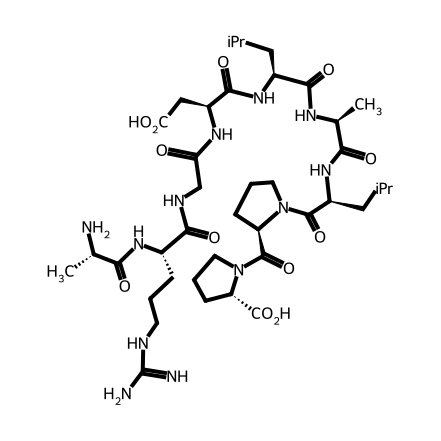 CC(C)C[C@H](NC(=O)[C@H](CC(=O)O)NC(=O)CNC(=O)[C@H](CCCNC(=N)N)NC(=O)[C@H](C)N)C(=O)N[C@@H](C)C(=O)N[C@@H](CC(C)C)C(=O)N1CCC[C@@H]1C(=O)N1CCC[C@H]1C(=O)O